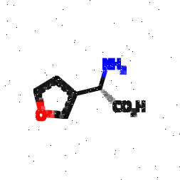 N[C@H](C(=O)O)c1ccoc1